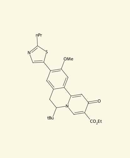 CCCc1ncc(-c2cc3c(cc2OC)-c2cc(=O)c(C(=O)OCC)cn2C(C(C)(C)C)C3)s1